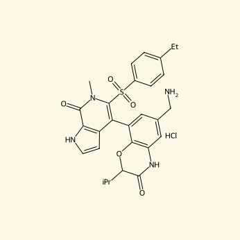 CCc1ccc(S(=O)(=O)c2c(-c3cc(CN)cc4c3OC(C(C)C)C(=O)N4)c3cc[nH]c3c(=O)n2C)cc1.Cl